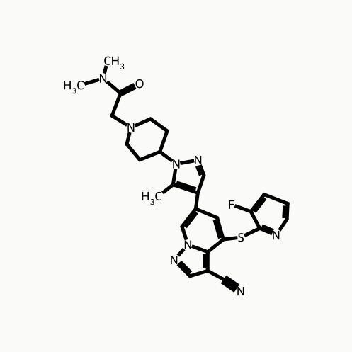 Cc1c(-c2cc(Sc3ncccc3F)c3c(C#N)cnn3c2)cnn1C1CCN(CC(=O)N(C)C)CC1